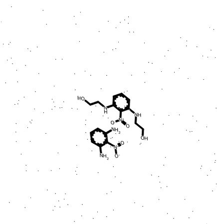 Nc1cccc(N)c1[N+](=O)[O-].O=[N+]([O-])c1c(NCCO)cccc1NCCO